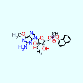 COc1nc(N)nc2c1ncn2C1O[C@H](CO[P@](C)(=O)Oc2cccc3ccccc23)[C@@H](O)[C@@]1(C)O